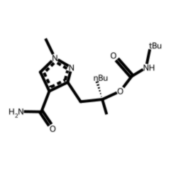 CCCC[C@](C)(Cc1nn(C)cc1C(N)=O)OC(=O)NC(C)(C)C